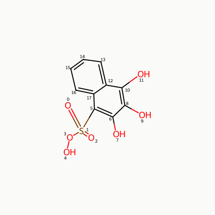 O=S(=O)(OO)c1c(O)c(O)c(O)c2ccccc12